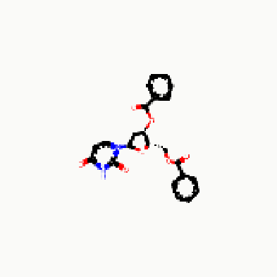 O=C(OC[C@@H]1O[C@@H](n2ccc(=O)[nH]c2=O)C[C@H]1OC(=O)c1ccccc1)c1ccccc1